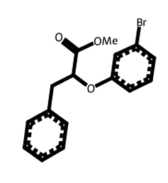 COC(=O)C(Cc1ccccc1)Oc1cccc(Br)c1